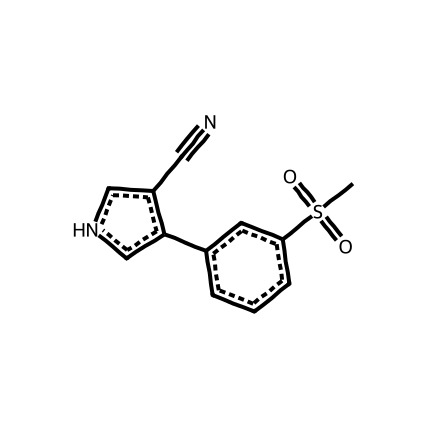 CS(=O)(=O)c1cccc(-c2c[nH]cc2C#N)c1